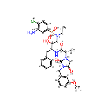 CC(C)CN(C[C@H](O)[C@H](Cc1ccccc1)NC(=O)[C@H](C(C)C)N1CC(=O)N(Cc2cccc(OC(F)(F)F)c2)C1=O)S(=O)(=O)c1ccc(Cl)c(N)c1